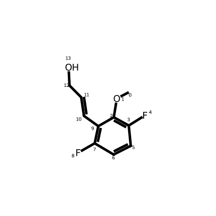 COc1c(F)ccc(F)c1C=CCO